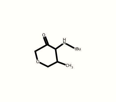 CC1COCC(=O)C1NC(C)(C)C